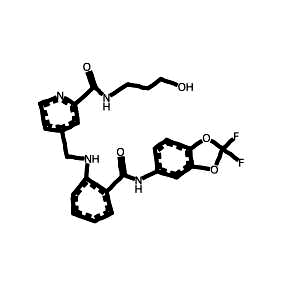 O=C(NCCCO)c1cc(CNc2ccccc2C(=O)Nc2ccc3c(c2)OC(F)(F)O3)ccn1